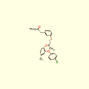 COC(=O)Cc1cccc(SCC[C@H](C)Oc2ccc(C(F)(F)F)cc2Oc2ccc(F)cc2)c1